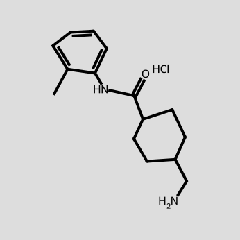 Cc1ccccc1NC(=O)C1CCC(CN)CC1.Cl